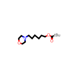 CC(C)(C)C(=O)OCCCCCCN1CCOCC1